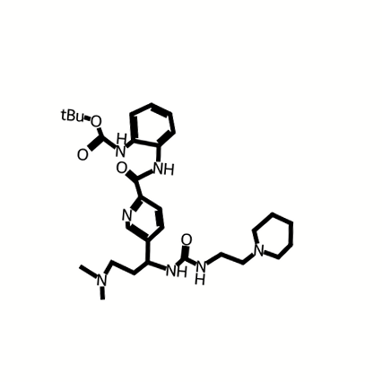 CN(C)CCC(NC(=O)NCCN1CCCCC1)c1ccc(C(=O)Nc2ccccc2NC(=O)OC(C)(C)C)nc1